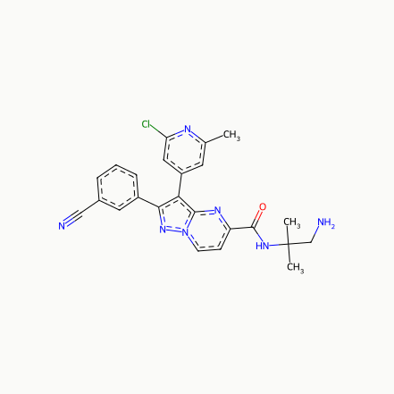 Cc1cc(-c2c(-c3cccc(C#N)c3)nn3ccc(C(=O)NC(C)(C)CN)nc23)cc(Cl)n1